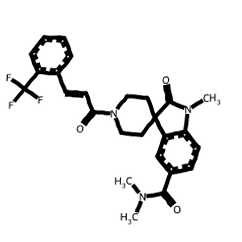 CN(C)C(=O)c1ccc2c(c1)C1(CCN(C(=O)C=Cc3ccccc3C(F)(F)F)CC1)C(=O)N2C